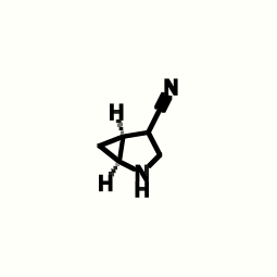 N#CC1CN[C@H]2C[C@@H]12